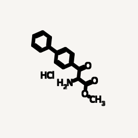 COC(=O)C(N)C(=O)c1ccc(-c2ccccc2)cc1.Cl